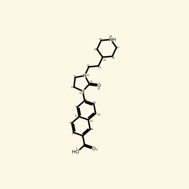 O=C(O)c1ccc2cc(N3CCN(CCC4CCNCC4)C3=O)ccc2c1